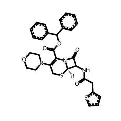 O=C(Cc1cccs1)NC1C(=O)N2C(C(=O)OC(c3ccccc3)c3ccccc3)=C(N3CCOCC3)CS[C@H]12